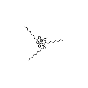 CCCCCCCC(OC)OP(=O)(OC(CCCCCCC)OC)OC(CCCCCCC)OC